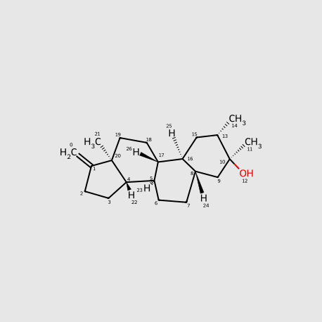 C=C1CC[C@H]2[C@@H]3CC[C@H]4C[C@](C)(O)[C@@H](C)C[C@@H]4[C@H]3CC[C@]12C